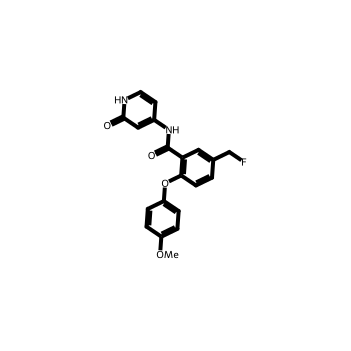 COc1ccc(Oc2ccc(CF)cc2C(=O)Nc2cc[nH]c(=O)c2)cc1